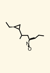 CC/C=C(\CC(C)C1C[C@@H]1CC)N=O